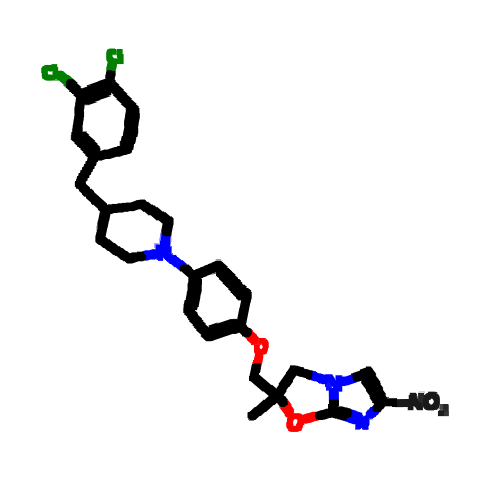 CC1(COc2ccc(N3CCC(Cc4ccc(Cl)c(Cl)c4)CC3)cc2)Cn2cc([N+](=O)[O-])nc2O1